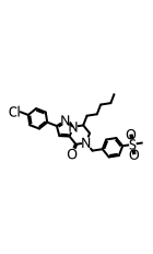 CCCCCC1CN(Cc2ccc(S(C)(=O)=O)cc2)C(=O)c2cc(-c3ccc(Cl)cc3)nn21